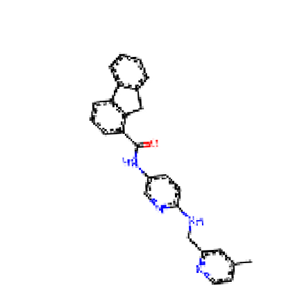 Cc1ccnc(CNc2ccc(NC(=O)c3cccc4c3Cc3ccccc3-4)cn2)c1